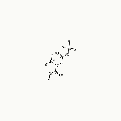 COC(=O)C(CC(=O)OC(C)(C)C)N(C)C